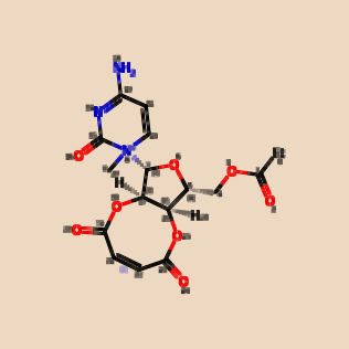 CCC(=O)OC[C@H]1O[C@@H]([N+]2(C)C=CC(N)=NC2=O)[C@@H]2OC(=O)/C=C\C(=O)O[C@@H]21